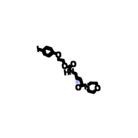 O=C(NC/C=C/C(=O)N1CCOCC1)OCCOc1ccc(I)cc1